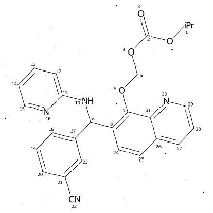 CC(C)OC(=O)OCOc1c(C(Nc2ccccn2)c2cccc(C#N)c2)ccc2cccnc12